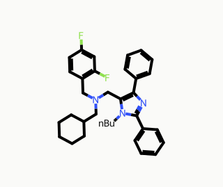 CCCCn1c(-c2ccccc2)nc(-c2ccccc2)c1CN(Cc1ccc(F)cc1F)CC1CCCCC1